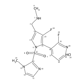 CNCc1cn(S(=O)(=O)c2nccn2C)c(-c2cccnc2F)c1F.Cl